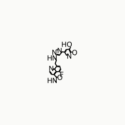 CNC(=O)c1ccnc2c(CCNc3cc(-c4cnc(OC)c(CO)c4)ncn3)ccc(F)c12